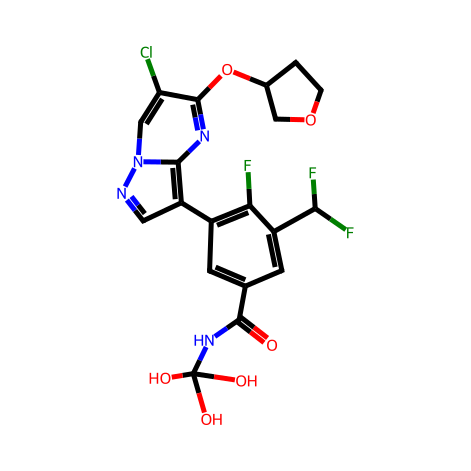 O=C(NC(O)(O)O)c1cc(-c2cnn3cc(Cl)c(OC4CCOC4)nc23)c(F)c(C(F)F)c1